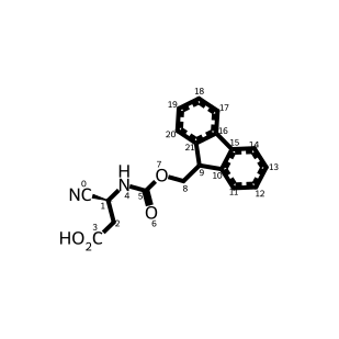 N#C[C@H](CC(=O)O)NC(=O)OCC1c2ccccc2-c2ccccc21